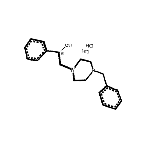 Cl.Cl.O[C@H](CN1CCN(Cc2ccccc2)CC1)c1ccccc1